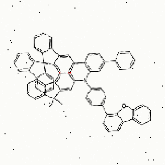 CC1(C)c2ccccc2-c2ccc(N(c3ccc(-c4cccc5c4oc4ccccc45)cc3)c3cc(-c4ccccc4)ccc3-c3ccc4c(c3)-c3ccccc3C43c4ccccc4-c4ccccc43)cc21